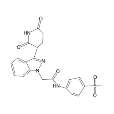 CS(=O)(=O)c1ccc(NC(=O)Cn2nc(C3CCC(=O)NC3=O)c3ccccc32)cc1